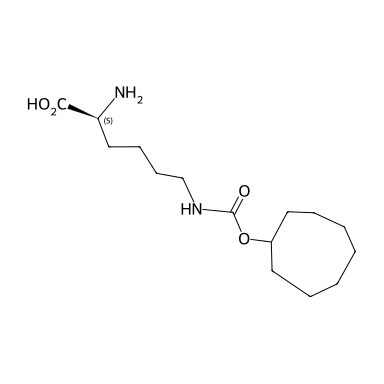 N[C@@H](CCCCNC(=O)OC1CCCCCCC1)C(=O)O